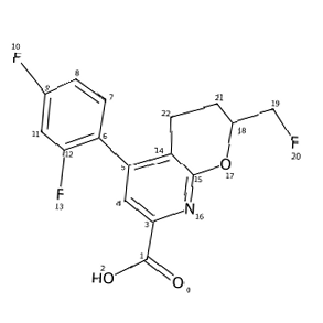 O=C(O)c1cc(-c2ccc(F)cc2F)c2c(n1)OC(CF)CC2